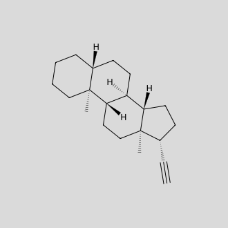 C#C[C@H]1CC[C@H]2[C@@H]3CC[C@H]4CCCC[C@]4(C)[C@H]3CC[C@]12C